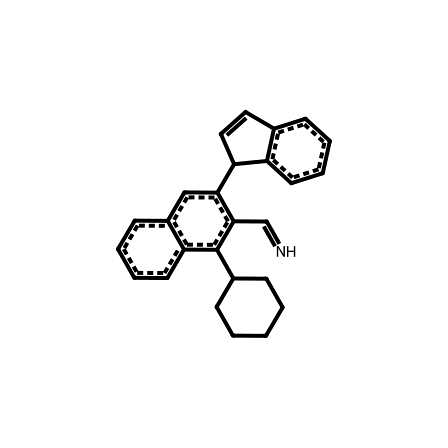 N=Cc1c(C2C=Cc3ccccc32)cc2ccccc2c1C1CCCCC1